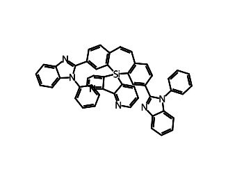 C1=Cc2ccc(-c3nc4ccccc4n3-c3ccccc3)cc2[Si]2(c3cc(-c4nc5ccccc5n4-c4ccccc4)ccc31)c1cccnc1-c1ncccc12